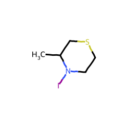 CC1CSCCN1I